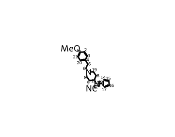 COc1ccc(CCN2CCC(N(C#N)n3cccc3)CC2)cc1